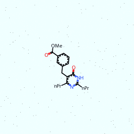 CCCc1nc(CCC)c(Cc2cccc(C(=O)OC)c2)c(=O)[nH]1